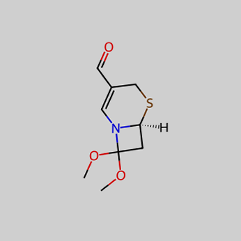 COC1(OC)C[C@@H]2SCC(C=O)=CN21